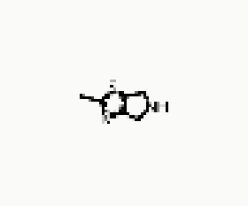 Cc1nc2c(s1)CNC2